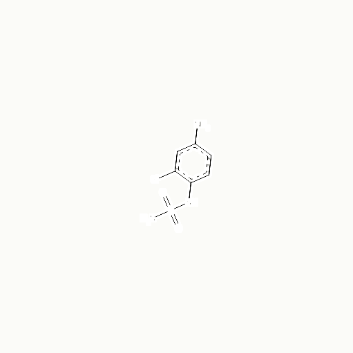 Nc1ccc(NS(N)(=O)=O)c(Cl)c1